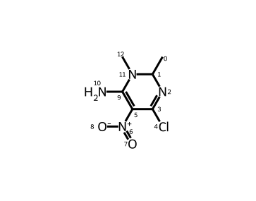 CC1N=C(Cl)C([N+](=O)[O-])=C(N)N1C